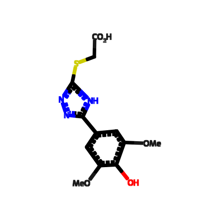 COc1cc(-c2nnc(SCC(=O)O)[nH]2)cc(OC)c1O